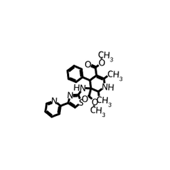 COC(=O)C1=C(C)NC(C)C(Nc2nc(-c3ccccn3)cs2)(C(=O)OC)C1c1ccccc1